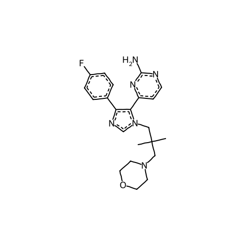 CC(C)(CN1CCOCC1)Cn1cnc(-c2ccc(F)cc2)c1-c1ccnc(N)n1